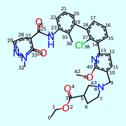 CCOC(=O)C1CCN(Cc2ccc(-c3cccc(-c4cccc(NC(=O)c5ccnn(C)c5=O)c4C)c3Cl)nc2OC)C1